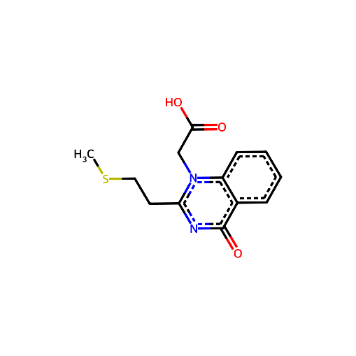 CSCCc1nc(=O)c2ccccc2n1CC(=O)O